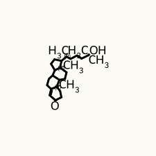 C[C@H](CCCC(C)(C)O)C1CCC2C3CCC4=CC(=O)CC[C@]4(C)C3CC[C@@]21C